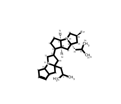 CC(C)CC12CC3C=CCC3N1CC(C1CC[C@@H]3[C@H]1C[C@]1(CC(C)C)C[C@H](F)CN31)C2